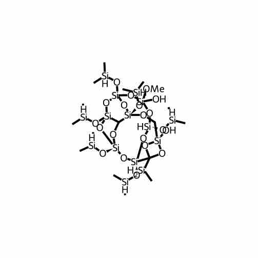 CO[Si]1(O)O[Si@H](O[SiH](C)C)O[Si@]2(O[SiH](C)C)O[Si@@]3(O[SiH](C)C)OC4[Si](O[SiH](C)C)(O[Si](O[SiH](C)C)(O1)O[Si@]4(O[SiH](C)C)OC[Si]1(O)OC2([SiH2]C)O1)O3